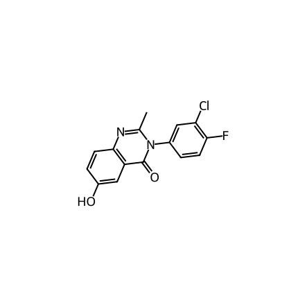 Cc1nc2ccc(O)cc2c(=O)n1-c1ccc(F)c(Cl)c1